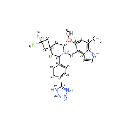 COc1cc(C)c2[nH]ccc2c1CN1CCC2(CC1c1ccc(-c3nnn[nH]3)cc1)CC(F)(F)C2